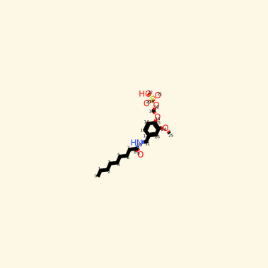 CCCCCCCCC(=O)NCc1ccc(OCOS(=O)(=O)O)c(OC)c1